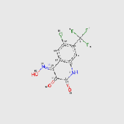 O=C1Nc2cc(C(F)(F)F)c(Cl)cc2/C(=N/O)C1=O